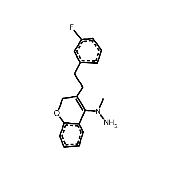 CN(N)C1=C(CCc2cccc(F)c2)COc2ccccc21